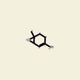 CC(C)C1=CC2OC2(C)CC1